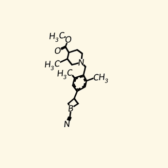 COC(=O)C1CCN(Cc2c(C)cc(C3CB(C#N)C3)cc2C)CC1C